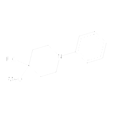 COC1(C(F)(F)F)CCN(c2ccccc2)CC1